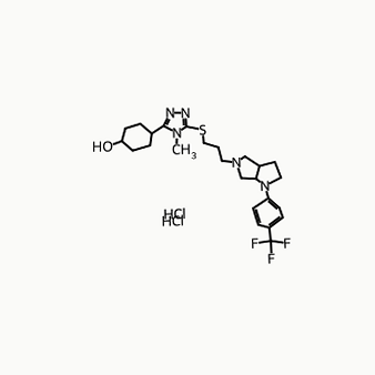 Cl.Cl.Cn1c(SCCCN2CC3CCN(c4ccc(C(F)(F)F)cc4)C3C2)nnc1C1CCC(O)CC1